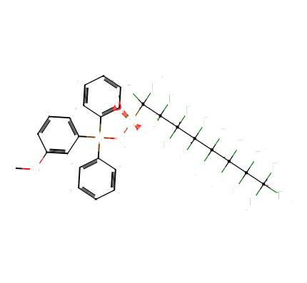 COc1cccc(S(OS(=O)(=O)C(F)(F)C(F)(F)C(F)(F)C(F)(F)C(F)(F)C(F)(F)C(F)(F)C(F)(F)F)(c2ccccc2)c2ccccc2)c1